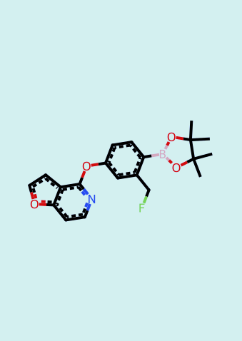 CC1(C)OB(c2ccc(Oc3nccc4occc34)cc2CF)OC1(C)C